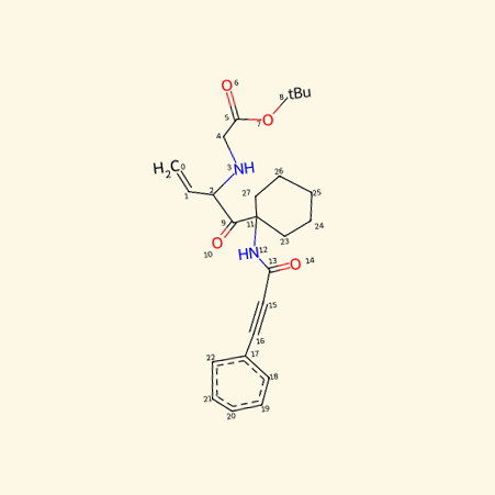 C=CC(NCC(=O)OC(C)(C)C)C(=O)C1(NC(=O)C#Cc2ccccc2)CCCCC1